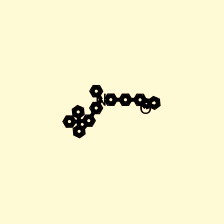 c1ccc(N(c2ccc(-c3ccc(-c4ccc5c(c4)oc4ccccc45)cc3)cc2)c2ccc(-c3ccc4c(c3)C(c3ccccc3)(c3ccccc3)c3ccccc3-4)cc2)cc1